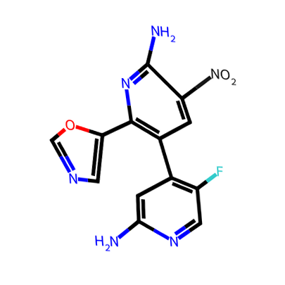 Nc1cc(-c2cc([N+](=O)[O-])c(N)nc2-c2cnco2)c(F)cn1